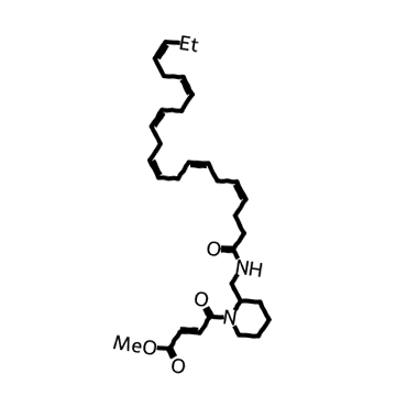 CC/C=C\C/C=C\C/C=C\C/C=C\C/C=C\C/C=C\CCC(=O)NCC1CCCCN1C(=O)C=CC(=O)OC